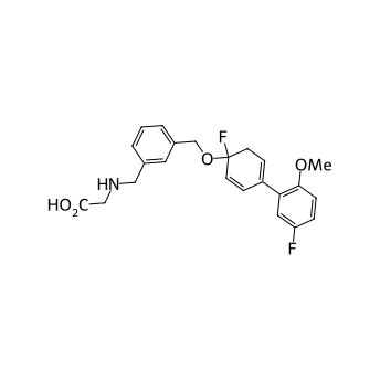 COc1ccc(F)cc1C1=CCC(F)(OCc2cccc(CNCC(=O)O)c2)C=C1